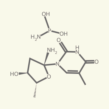 Cc1cn([C@@]2(N)C[C@H](O)[C@@H](C)O2)c(=O)[nH]c1=O.NP(O)O